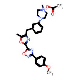 Cc1oc(-c2nc(-c3ccc(OC(F)(F)F)cc3)no2)nc1Cc1cccc(N2CC[N+](C)(OC(=O)C(F)(F)F)CC2)c1